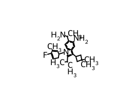 CC1=CC(n2c(C(C)C)c(C3CC(C)(C)C3)c3cc(N)c(C(C)N)cc32)CC=C1F